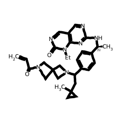 C=CC(=O)N1CC2(C1)CN(C(CC1(C)CC1)c1ccc([C@H](C)Nc3ncc4cnc(=O)n(CC)c4n3)cc1)C2